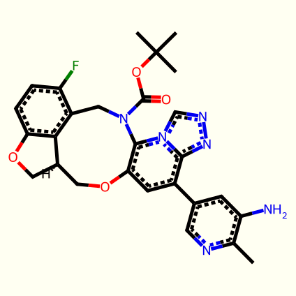 Cc1ncc(-c2cc3c(n4cnnc24)N(C(=O)OC(C)(C)C)Cc2c(F)ccc4c2[C@H](CO4)CO3)cc1N